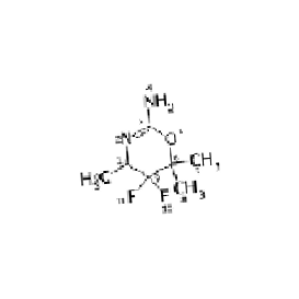 CC1N=C(N)OC(C)(C)C1(F)F